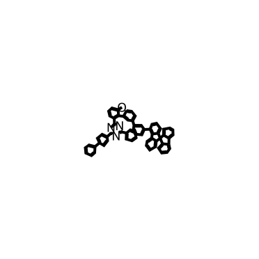 c1ccc(-c2ccc(-c3nc(-c4ccccc4)nc(-c4cccc5oc6ccc(-c7cccc(-c8cccc9c8-c8ccccc8C98c9ccccc9-c9ccccc98)c7)cc6c45)n3)cc2)cc1